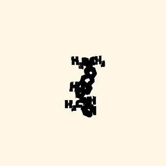 C=C(Nc1cccnc1)C1CCC2C1CC=C1CC3CCC(N(C)C)CC3CC[C@@]12O